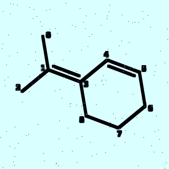 CC(C)=C1C=CCCC1